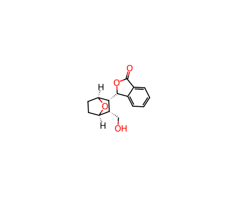 O=C1OC([C@@H]2[C@H](CO)[C@H]3CC[C@@H]2O3)c2ccccc21